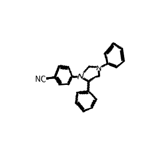 N#Cc1ccc(N2CN(c3ccccc3)CC2c2ccccc2)cc1